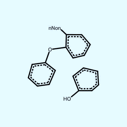 CCCCCCCCCc1ccccc1Oc1ccccc1.Oc1ccccc1